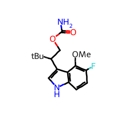 COc1c(F)ccc2[nH]cc(C(COC(N)=O)C(C)(C)C)c12